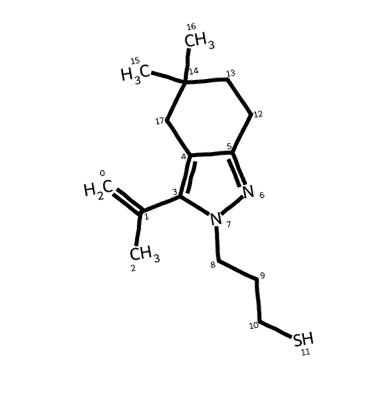 C=C(C)c1c2c(nn1CCCS)CCC(C)(C)C2